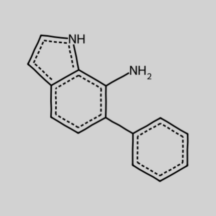 Nc1c(-c2ccccc2)ccc2cc[nH]c12